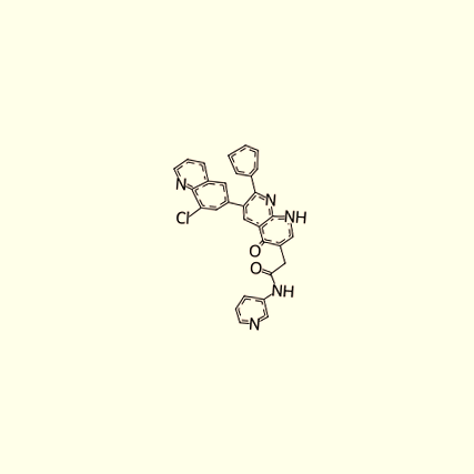 O=C(Cc1c[nH]c2nc(-c3ccccc3)c(-c3cc(Cl)c4ncccc4c3)cc2c1=O)Nc1cccnc1